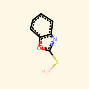 BSc1nc2ccccc2o1